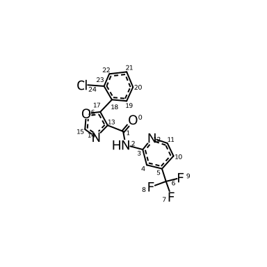 O=C(Nc1cc(C(F)(F)F)ccn1)c1ncoc1-c1ccccc1Cl